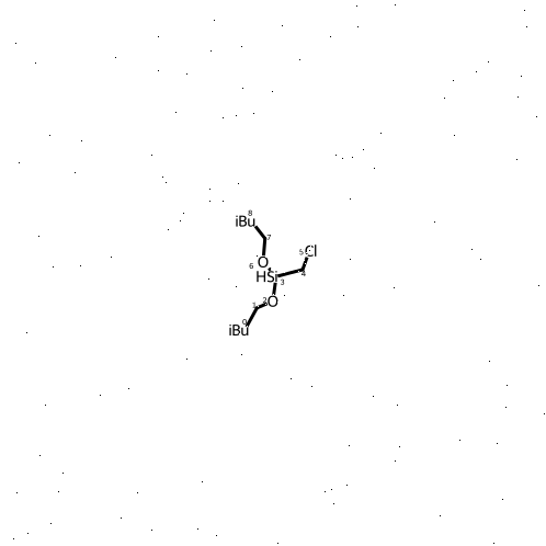 CCC(C)CO[SiH](CCl)OCC(C)CC